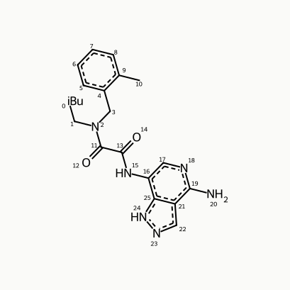 CCC(C)CN(Cc1ccccc1C)C(=O)C(=O)Nc1cnc(N)c2cn[nH]c12